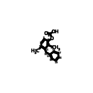 Cc1ccc(OC(=O)O)c(C)c1Cc1ccccc1